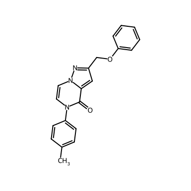 Cc1ccc(-n2ccn3nc(COc4ccccc4)cc3c2=O)cc1